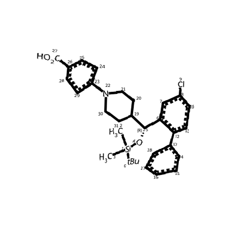 CC(C)(C)[Si](C)(C)O[C@@H](c1cc(Cl)ccc1-c1ccccc1)C1CCN(c2ccc(C(=O)O)cc2)CC1